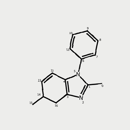 Cc1nc2c(n1-c1ccccc1)C=CC(C)C2